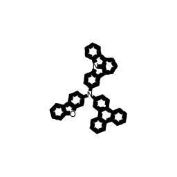 c1ccc2c(c1)oc1cc(N(c3ccc4c5ccccc5c5ccccc5c4c3)c3ccc4c(c3)c3cccc5c6ccccc6n4c53)ccc12